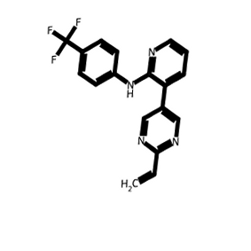 C=Cc1ncc(-c2cccnc2Nc2ccc(C(F)(F)F)cc2)cn1